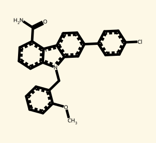 COc1ccccc1Cn1c2cc(-c3ccc(Cl)cc3)c[c]c2c2c(C(N)=O)cccc21